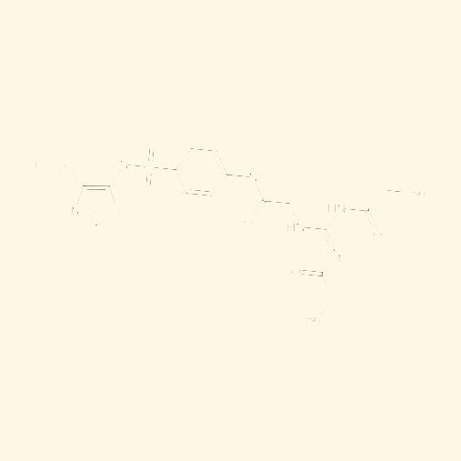 CCOC(=O)c1ncsc1NS(=O)(=O)c1ccc(NC(=O)CN/C(=N\C(=O)OC(C)(C)C)NC(=O)OC(C)(C)C)cc1